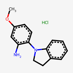 COc1ccc(N2CCc3ccccc32)c(N)c1.Cl